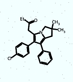 CCC(=O)Cc1c(-c2ccc(Cl)cc2)c(-c2ccccc2)c2n1CC(C)(C)C2